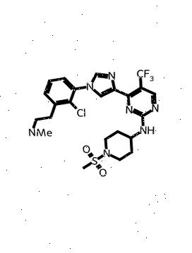 CNCCc1cccc(-n2cnc(-c3nc(NC4CCN(S(C)(=O)=O)CC4)ncc3C(F)(F)F)c2)c1Cl